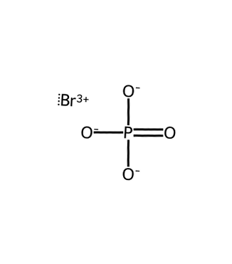 O=P([O-])([O-])[O-].[Br+3]